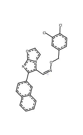 Clc1ccc(CO/N=C\c2c(-c3ccc4ccccc4c3)nc3occn23)cc1Cl